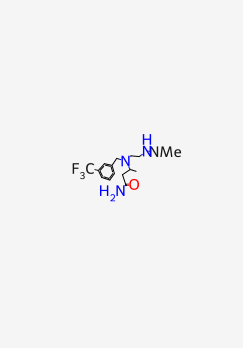 CNNCCN(Cc1cccc(C(F)(F)F)c1)C(C)CC(N)=O